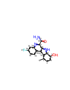 Cc1ccc(O)c2[nH]c3c(C(N)=O)nc4cc(F)ccc4c3c12